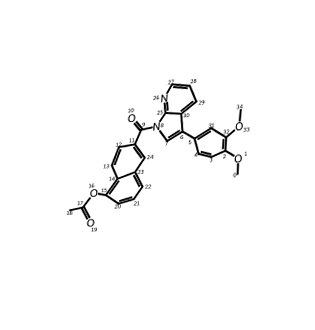 COc1ccc(-c2cn(C(=O)c3ccc4c(OC(C)=O)cccc4c3)c3ncccc23)cc1OC